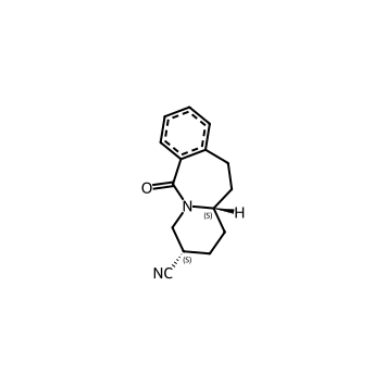 N#C[C@H]1CC[C@H]2CCc3ccccc3C(=O)N2C1